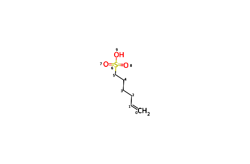 C=CCCCCS(=O)(=O)O